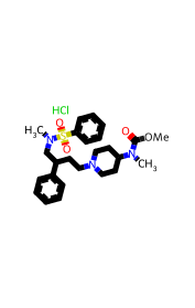 COC(=O)N(C)C1CCN(CCC(CN(C)S(=O)(=O)c2ccccc2)c2ccccc2)CC1.Cl